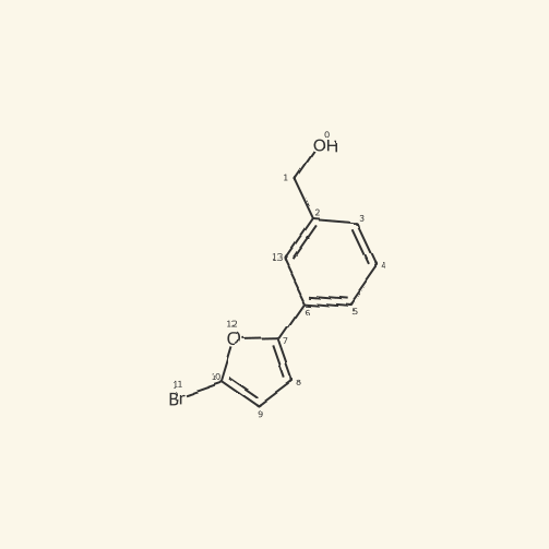 OCc1cccc(-c2ccc(Br)o2)c1